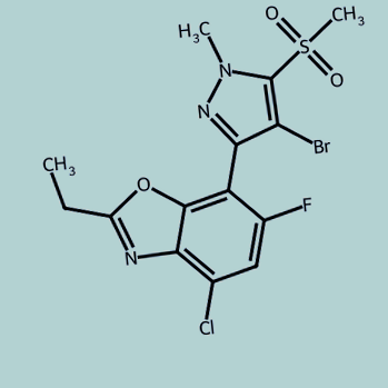 CCc1nc2c(Cl)cc(F)c(-c3nn(C)c(S(C)(=O)=O)c3Br)c2o1